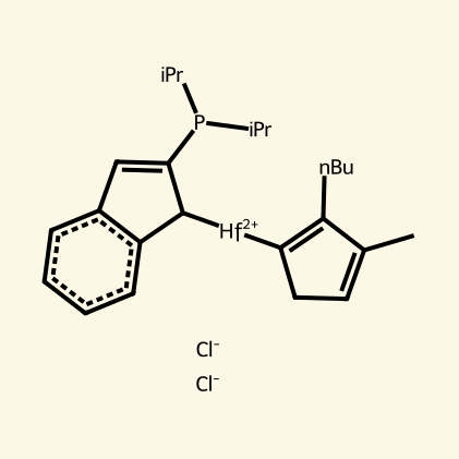 CCCCC1=[C]([Hf+2][CH]2C(P(C(C)C)C(C)C)=Cc3ccccc32)CC=C1C.[Cl-].[Cl-]